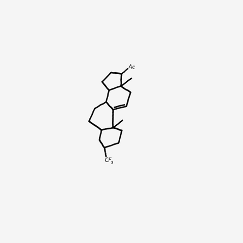 CC(=O)C1CCC2C3CCC4CC(C(F)(F)F)CCC4(C)C3=CCC12C